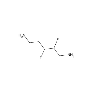 NCCC(F)C(F)CN